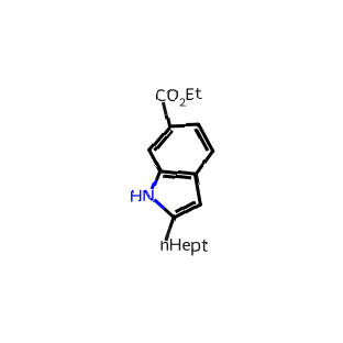 CCCCCCCc1cc2ccc(C(=O)OCC)cc2[nH]1